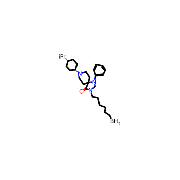 BCCCCCCN1CN(c2ccccc2)C2(CCN([C@H]3CC[C@@H](C(C)C)CC3)CC2)C1=O